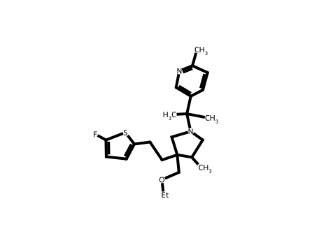 CCOCC1(CCc2ccc(F)s2)CN(C(C)(C)c2ccc(C)nc2)CC1C